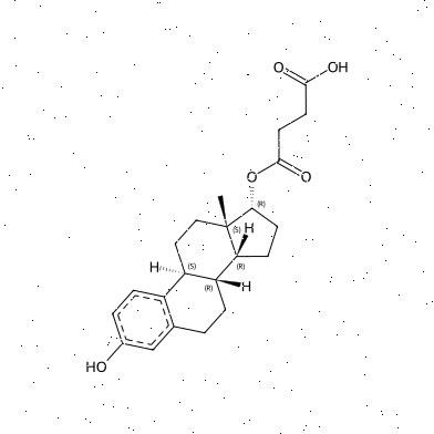 C[C@]12CC[C@@H]3c4ccc(O)cc4CC[C@H]3[C@H]1CC[C@H]2OC(=O)CCC(=O)O